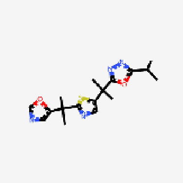 CC(C)c1nnc(C(C)(C)c2cnc(C(C)(C)c3cnco3)s2)o1